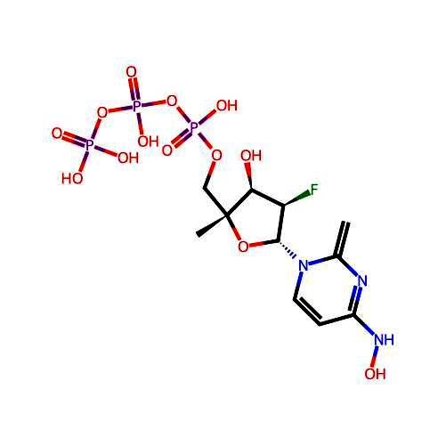 C=C1N=C(NO)C=CN1[C@@H]1O[C@](C)(COP(=O)(O)OP(=O)(O)OP(=O)(O)O)[C@@H](O)[C@H]1F